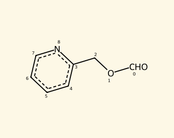 O=COCc1ccccn1